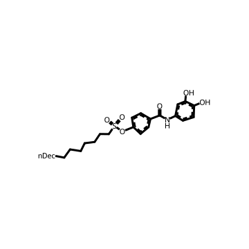 CCCCCCCCCCCCCCCCCS(=O)(=O)Oc1ccc(C(=O)Nc2ccc(O)c(O)c2)cc1